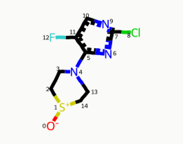 [O-][S+]1CCN(c2nc(Cl)ncc2F)CC1